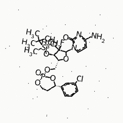 CC(C)(C)[Si](C)(C)O[C@@H]1[C@@H](CO[P@@]2(=O)OCC[C@@H](c3cccc(Cl)c3)O2)OC(n2ccc(N)nc2=O)[C@@]1(C)F